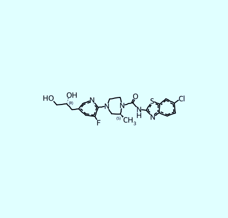 C[C@H]1CN(c2ncc(C[C@@H](O)CO)cc2F)CCN1C(=O)Nc1nc2ccc(Cl)cc2s1